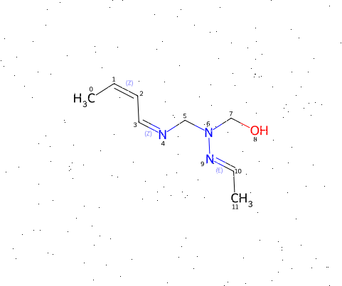 C/C=C\C=N/CN(CO)/N=C/C